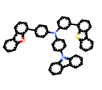 c1cc(-c2cccc3c2sc2ccccc23)cc(N(c2ccc(-c3cccc4c3oc3ccccc34)cc2)c2ccc(-n3c4ccccc4c4ccccc43)cc2)c1